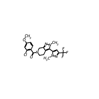 COc1ccc(C(=O)N2CCc3c(nn(C)c3-c3cc(C(F)(F)F)nn3C)C2)c(Cl)c1